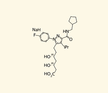 CC(C)c1c(C(=O)NCC2CCCC2)nn(-c2ccc(F)cc2)c1CC[C@@H](O)C[C@@H](O)CC(=O)O.[NaH]